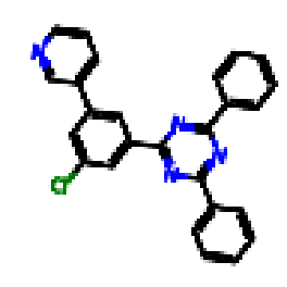 Clc1cc(-c2cccnc2)cc(-c2nc(-c3ccccc3)nc(-c3ccccc3)n2)c1